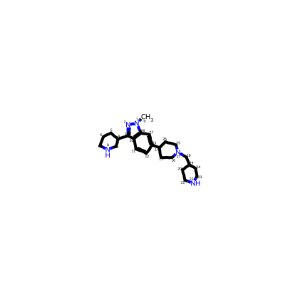 Cn1nc(C2CCCNC2)c2ccc(C3CCN(CC4CCNCC4)CC3)cc21